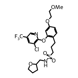 COCCOc1ccc(CCCS(=O)(=O)NCC2CCCO2)c(Oc2ncc(C(F)(F)F)cc2Cl)c1